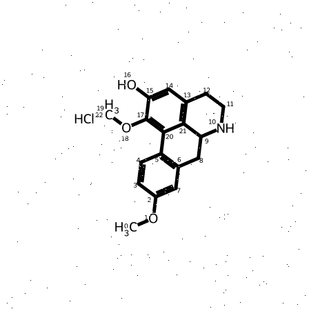 COc1ccc2c(c1)CC1NCCc3cc(O)c(OC)c-2c31.Cl